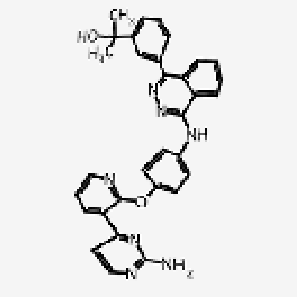 CC(C)(O)c1cccc(-c2nnc(Nc3ccc(Oc4ncccc4-c4ccnc(N)n4)cc3)c3ccccc23)c1